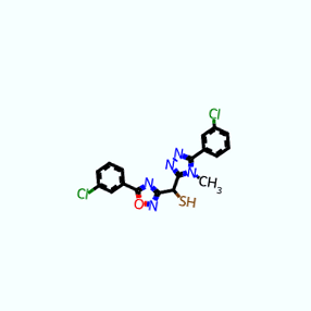 Cn1c(-c2cccc(Cl)c2)nnc1C(S)c1noc(-c2cccc(Cl)c2)n1